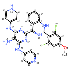 CCOc1cc(F)c(CNc2ccccc2C(=N)c2nc(NC3=CCNC=C3)c(N)c(Nc3ccncc3)n2)c(F)c1